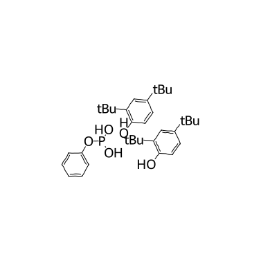 CC(C)(C)c1ccc(O)c(C(C)(C)C)c1.CC(C)(C)c1ccc(O)c(C(C)(C)C)c1.OP(O)Oc1ccccc1